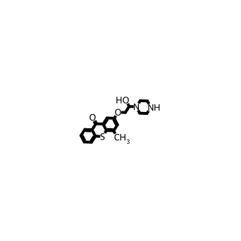 Cc1cc(OCC(O)N2CCNCC2)cc2c(=O)c3ccccc3sc12